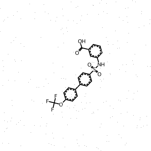 O=C(O)c1cccc(NS(=O)(=O)c2ccc(-c3ccc(OC(F)(F)F)cc3)cc2)c1